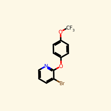 FC(F)(F)Oc1ccc(Oc2ncccc2Br)cc1